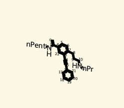 C=C(NCCCCC)c1ccc(CCCNCCC)c(C#Cc2ccccc2)c1